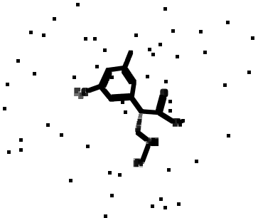 Cc1cc([C@@H](CNC(C)C)C(=O)C(C)C)cc(C(F)(F)F)c1